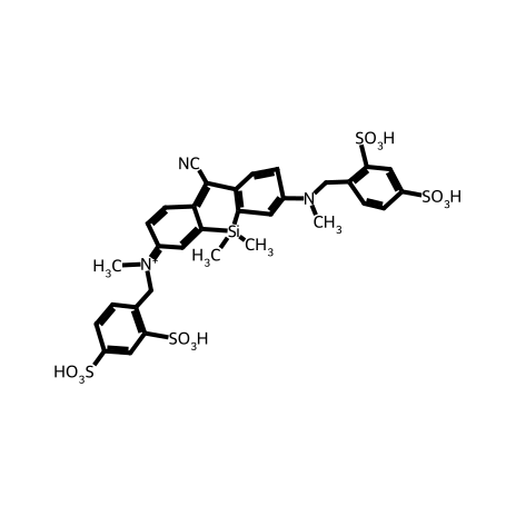 CN(Cc1ccc(S(=O)(=O)O)cc1S(=O)(=O)O)c1ccc2c(c1)[Si](C)(C)C1=C/C(=[N+](/C)Cc3ccc(S(=O)(=O)O)cc3S(=O)(=O)O)C=CC1=C2C#N